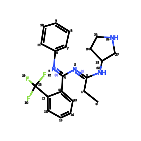 CC/C(=N\C(=N/c1ccccc1)c1ccccc1C(F)(F)F)NC1CCNC1